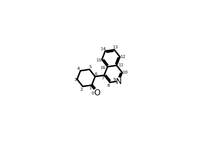 O=C1CCCCC1c1cncc2ccccc12